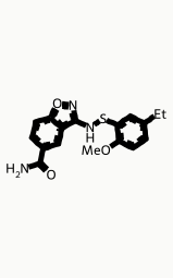 CCc1ccc(OC)c(SNc2noc3ccc(C(N)=O)cc23)c1